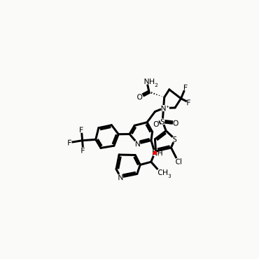 CC(Nc1cc(C[N+]2(S(=O)(=O)c3ccc(Cl)s3)CC(F)(F)C[C@H]2C(N)=O)cc(-c2ccc(C(F)(F)F)cc2)n1)c1cccnc1